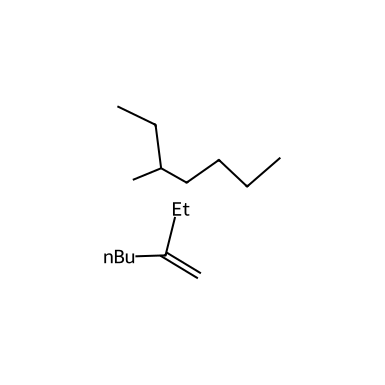 C=C(CC)CCCC.CCCCC(C)CC